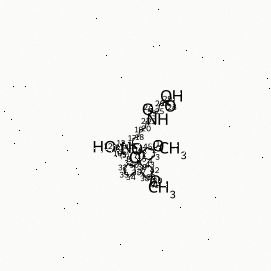 COc1ccc(C(OC[C@@H]2C[C@@H](O)CN2C(=O)CCCCCNC(=O)CCC(=O)O)(c2ccccc2)c2ccc(OC)cc2)cc1